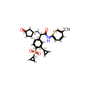 N#CC1=CSC(NC(=O)[C@H](C[C@H]2CCC(=O)C2)c2ccc(S(=O)(=O)C3CC3)c(C3CC3)c2)=CC=C1